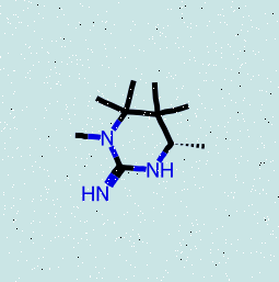 C[C@@H]1NC(=N)N(C)C(C)(C)C1(C)C